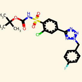 CC(C)(C)OC(=O)NS(=O)(=O)c1ccc(-c2nnn(Cc3ccc(F)cc3)n2)cc1Cl